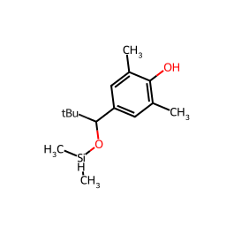 Cc1cc(C(O[SiH](C)C)C(C)(C)C)cc(C)c1O